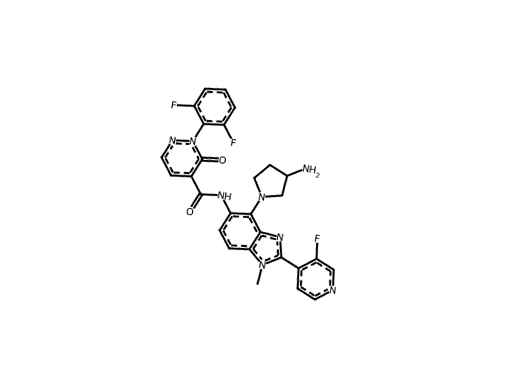 Cn1c(-c2ccncc2F)nc2c(N3CCC(N)C3)c(NC(=O)c3ccnn(-c4c(F)cccc4F)c3=O)ccc21